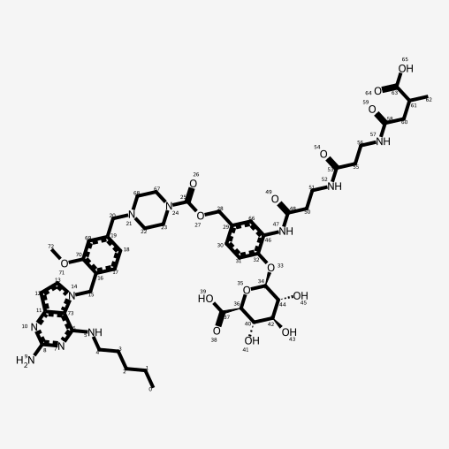 CCCCCNc1nc(N)nc2ccn(Cc3ccc(CN4CCN(C(=O)OCc5ccc(O[C@@H]6O[C@H](C(=O)O)[C@@H](O)[C@H](O)[C@H]6O)c(NC(=O)CCNC(=O)CCNC(=O)CC(C)C(=O)O)c5)CC4)cc3OC)c12